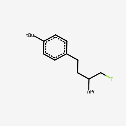 CCCC(CF)CCc1ccc(C(C)(C)C)cc1